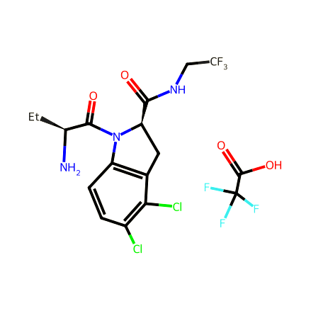 CC[C@H](N)C(=O)N1c2ccc(Cl)c(Cl)c2C[C@@H]1C(=O)NCC(F)(F)F.O=C(O)C(F)(F)F